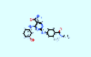 CN(C)C(=O)C1CCC(Nc2ncc(C(N)=O)c(N[C@@H]3CCC[C@H](O)C3)n2)CC1